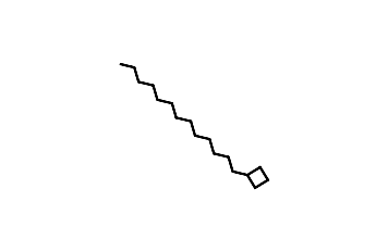 CCCCCCCCCCCCCC1CCC1